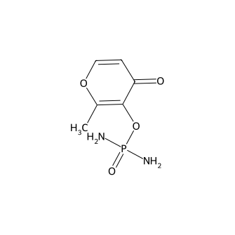 Cc1occc(=O)c1OP(N)(N)=O